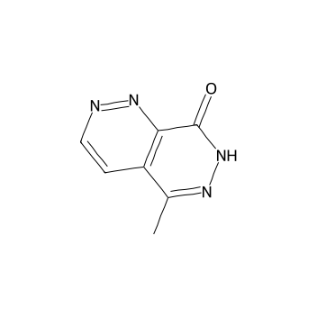 Cc1n[nH]c(=O)c2nnccc12